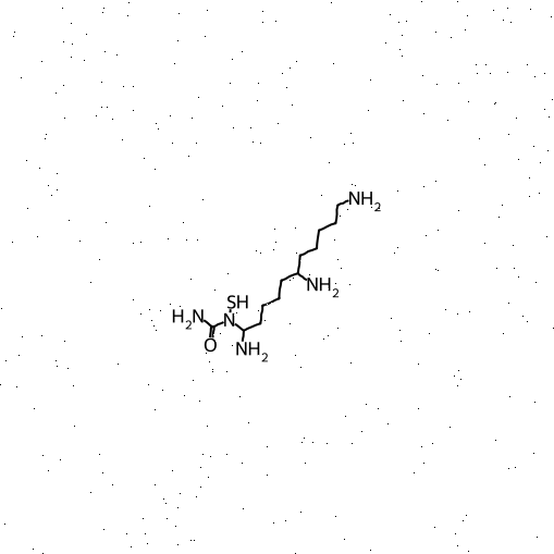 NCCCCCC(N)CCCCC(N)N(S)C(N)=O